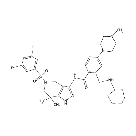 CN1CCN(c2ccc(C(=O)Nc3n[nH]c4c3CN(S(=O)(=O)c3cc(F)cc(F)c3)CC4(C)C)c(CNC3CCCCC3)c2)CC1